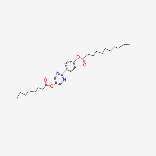 CCCCCCCCCCC(=O)Oc1ccc(-c2ncc(OC(=O)CCCCCCC)cn2)cc1